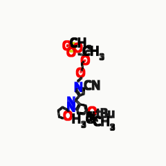 CC(COS(C)(=O)=O)OCCOCCn1cc(-c2nn(C3CCCCO3)c3ccc(O[Si](C)(C)C(C)(C)C)cc23)cc1C#N